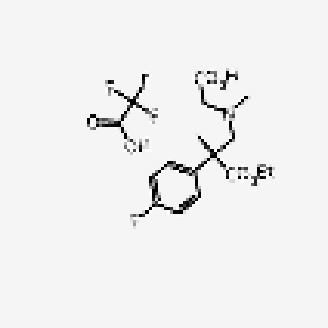 CCOC(=O)C(C)(CN(C)CC(=O)O)c1ccc(F)cc1.O=C(O)C(F)(F)F